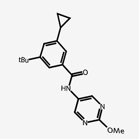 COc1ncc(NC(=O)c2cc(C3CC3)cc(C(C)(C)C)c2)cn1